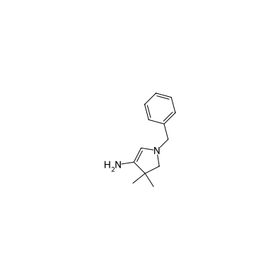 CC1(C)CN(Cc2ccccc2)C=C1N